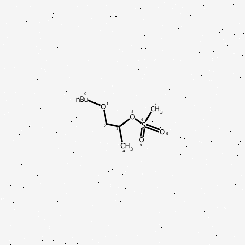 CCCCOCC(C)OS(C)(=O)=O